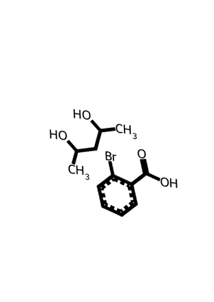 CC(O)CC(C)O.O=C(O)c1ccccc1Br